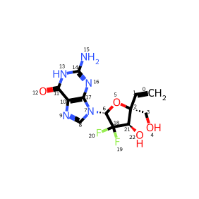 C=C[C@]1(CO)O[C@@H](n2cnc3c(=O)[nH]c(N)nc32)C(F)(F)[C@@H]1O